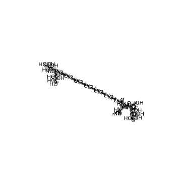 CNCC(=O)NCC(=O)NC(CNC(=O)CCOCCOCCOCCOCCOCCOCCOCCOCCOCCOCCOCCOCCN(C[C@H](O)[C@@H](O)[C@H](O)[C@H](O)CO)C[C@H](O)[C@@H](O)[C@H](O)[C@H](O)CO)C(=O)Nc1cc(CO)ccc1O[C@@H]1O[C@H](C(=O)O)[C@@H](O)[C@H](O)[C@H]1O